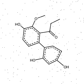 CCC(=O)c1c(-c2ccc(O)cc2O)ccc(O)c1OC